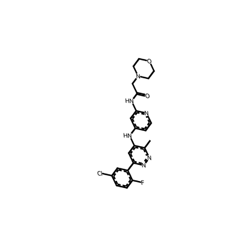 Cc1nnc(-c2cc(Cl)ccc2F)cc1Nc1ccnc(NC(=O)CN2CCOCC2)c1